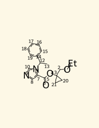 CCOCC1(OC(=O)c2cncn2C(C)c2ccccc2)CC1